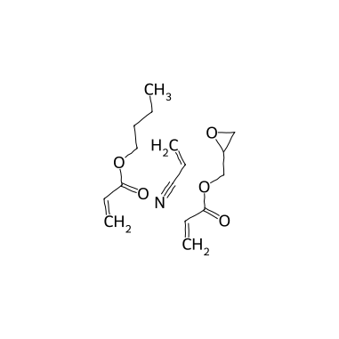 C=CC#N.C=CC(=O)OCC1CO1.C=CC(=O)OCCCC